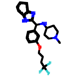 CN1CCC(NC(c2cccc(OCCCC(F)(F)F)c2)c2nc3ccccc3[nH]2)CC1